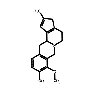 COc1c(O)ccc2c1CN1CCC3=C(C=C(C)C3)C1C2